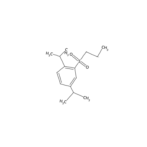 C[CH]CS(=O)(=O)c1cc(C(C)C)ccc1C(C)C